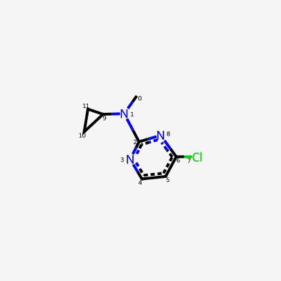 CN(c1nccc(Cl)n1)C1CC1